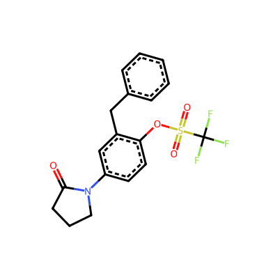 O=C1CCCN1c1ccc(OS(=O)(=O)C(F)(F)F)c(Cc2ccccc2)c1